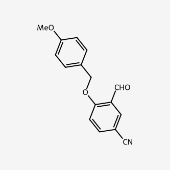 COc1ccc(COc2ccc(C#N)cc2C=O)cc1